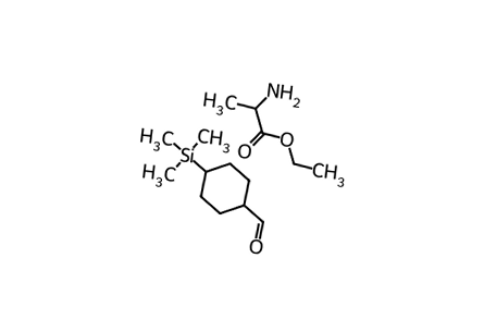 CCOC(=O)C(C)N.C[Si](C)(C)C1CCC(C=O)CC1